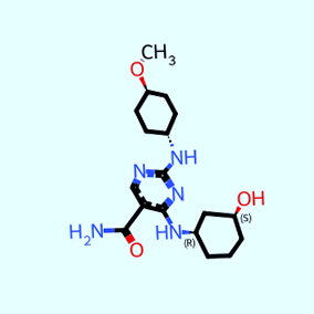 CO[C@H]1CC[C@H](Nc2ncc(C(N)=O)c(N[C@@H]3CCC[C@H](O)C3)n2)CC1